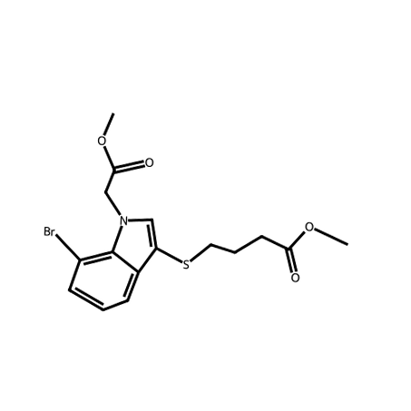 COC(=O)CCCSc1cn(CC(=O)OC)c2c(Br)cccc12